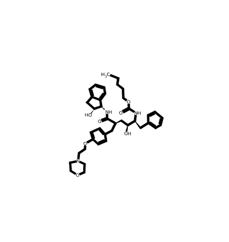 CCCCCOC(=O)N[C@@H](Cc1ccccc1)[C@@H](O)C[C@@H](Cc1ccc(OCCN2CCOCC2)cc1)C(=O)N[C@H]1c2ccccc2C[C@H]1O